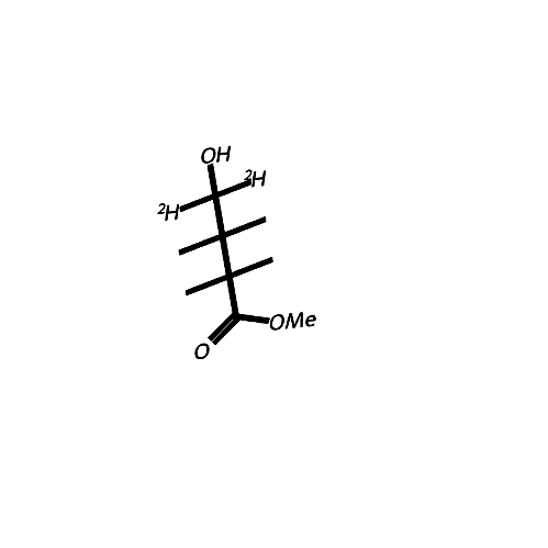 [2H]C([2H])(O)C(C)(C)C(C)(C)C(=O)OC